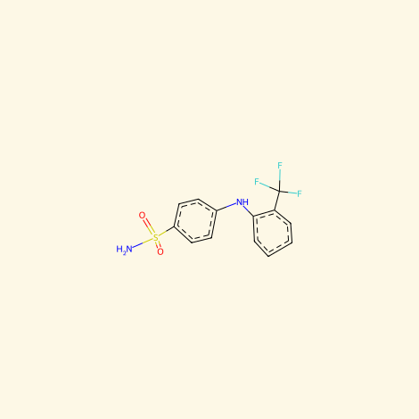 NS(=O)(=O)c1ccc(Nc2ccccc2C(F)(F)F)cc1